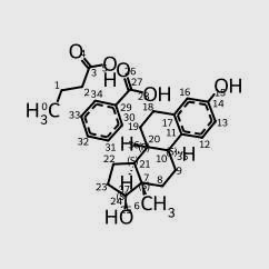 CCCC(=O)O.C[C@]12CC[C@@H]3c4ccc(O)cc4CC[C@H]3[C@@H]1CC[C@@H]2O.O=C(O)c1ccccc1